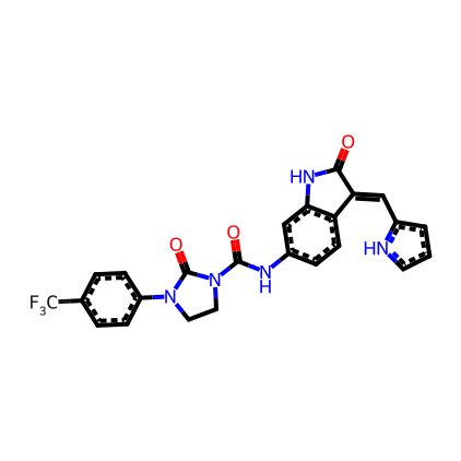 O=C1Nc2cc(NC(=O)N3CCN(c4ccc(C(F)(F)F)cc4)C3=O)ccc2C1=Cc1ccc[nH]1